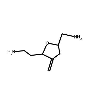 C=C1CC(CN)OC1CCN